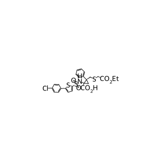 CCOC(=O)CSC[C@@]1(c2ccccc2)CC1(NS(=O)(=O)c1ccc(-c2ccc(Cl)cc2)s1)C(=O)O